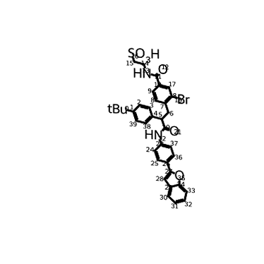 CC(C)(C)c1ccc(C(Cc2ccc(C(=O)NCCS(=O)(=O)O)cc2Br)C(=O)Nc2ccc(-c3cc4ccccc4o3)cc2)cc1